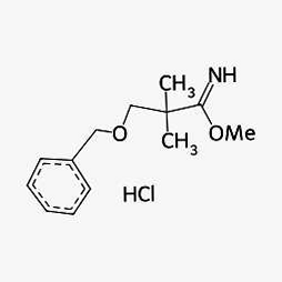 COC(=N)C(C)(C)COCc1ccccc1.Cl